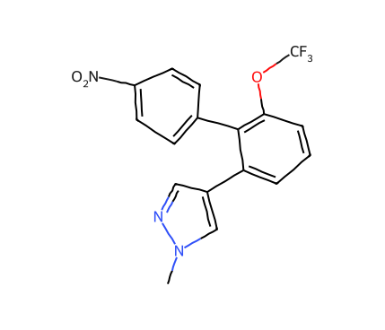 Cn1cc(-c2cccc(OC(F)(F)F)c2-c2ccc([N+](=O)[O-])cc2)cn1